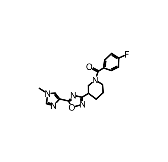 Cn1cnc(-c2nc(C3CCCN(C(=O)c4ccc(F)cc4)C3)no2)c1